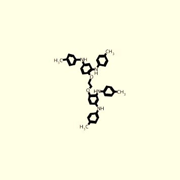 Cc1ccc(Nc2ccc(OCCOc3ccc(Nc4ccc(C)cc4)cc3Nc3ccc(C)cc3)c(Nc3ccc(C)cc3)c2)cc1